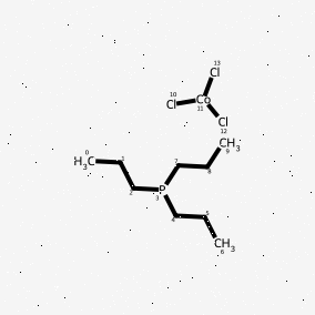 CCCP(CCC)CCC.[Cl][Co]([Cl])[Cl]